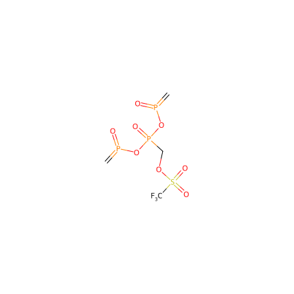 C=P(=O)OP(=O)(COS(=O)(=O)C(F)(F)F)OP(=C)=O